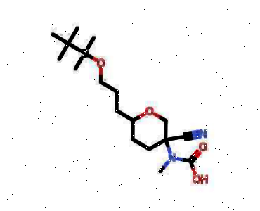 CN(C(=O)O)C1(C#N)CCC(CCCO[Si](C)(C)C(C)(C)C)OC1